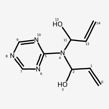 C=CC(O)N(c1ncncn1)C(O)C=C